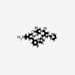 CC(C)(N)c1cc(O[C@H]2[C@@H]3CN(C(=O)c4cn(-c5ncccn5)nc4Cn4nccn4)C[C@@H]32)nc(-c2ccc(F)cc2)c1